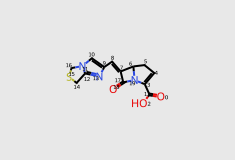 O=C(O)C1=CCC2C(=Cc3cn4c(n3)CSC4)C(=O)N12